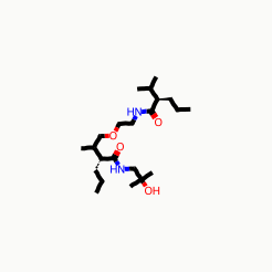 CCC[C@@H](C(=O)NCCOCC(C)[C@@H](CCC)C(=O)NCC(C)(C)O)C(C)C